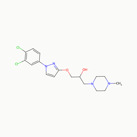 CN1CCN(CC(O)COc2ccn(-c3ccc(Cl)c(Cl)c3)n2)CC1